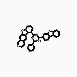 C1=CC2Oc3cc4cnccc4cc3C2C(C2=NC(c3ccccc3)NC(c3ccc4c(c3)sc3ccccc34)=N2)=C1